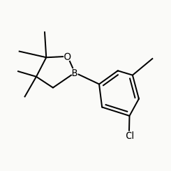 Cc1cc(Cl)cc(B2CC(C)(C)C(C)(C)O2)c1